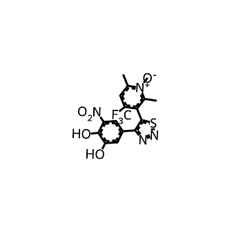 Cc1cc(C(F)(F)F)c(-c2snnc2-c2cc(O)c(O)c([N+](=O)[O-])c2)c(C)[n+]1[O-]